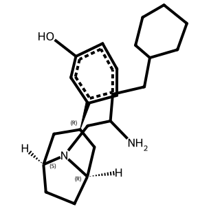 NC(CCC1CCCCC1)CN1[C@@H]2CC[C@H]1C[C@@H](c1cccc(O)c1)C2